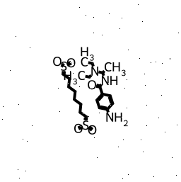 CCN(CC)C(C)NC(=O)c1ccc(N)cc1.O=S(=O)=CCCCCCCC=S(=O)=O